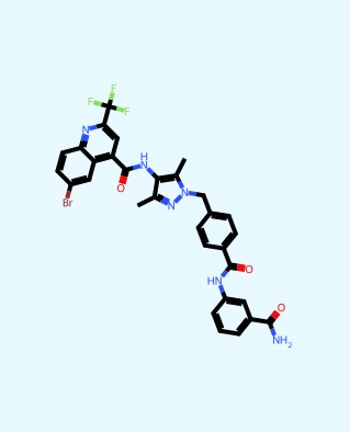 Cc1nn(Cc2ccc(C(=O)Nc3cccc(C(N)=O)c3)cc2)c(C)c1NC(=O)c1cc(C(F)(F)F)nc2ccc(Br)cc12